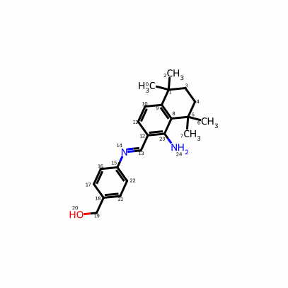 CC1(C)CCC(C)(C)c2c1ccc(C=Nc1ccc(CO)cc1)c2N